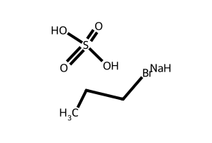 CCCBr.O=S(=O)(O)O.[NaH]